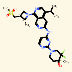 CC(C)c1cnc(N2C[C@H](CS(C)(=O)=O)[C@H]2C)c2cnc(Nc3ccnc(N4CC[C@](C)(O)C(F)(F)C4)n3)cc12